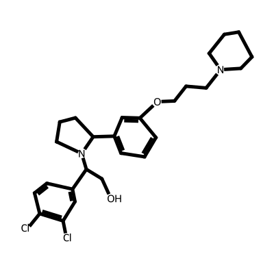 OCC(c1ccc(Cl)c(Cl)c1)N1CCCC1c1cccc(OCCCN2CCCCC2)c1